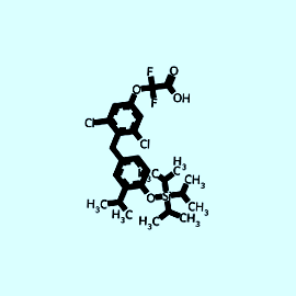 CC(C)c1cc(Cc2c(Cl)cc(OC(F)(F)C(=O)O)cc2Cl)ccc1O[Si](C(C)C)(C(C)C)C(C)C